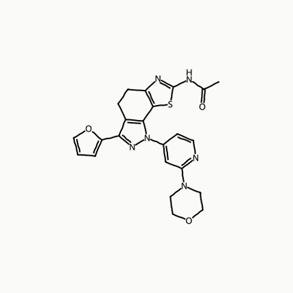 CC(=O)Nc1nc2c(s1)-c1c(c(-c3ccco3)nn1-c1ccnc(N3CCOCC3)c1)CC2